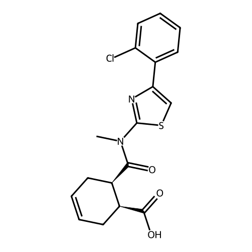 CN(C(=O)[C@@H]1CC=CC[C@@H]1C(=O)O)c1nc(-c2ccccc2Cl)cs1